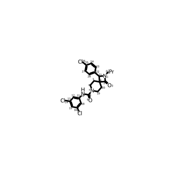 CC(C)N1C(=O)C2(CCN(C(=O)Nc3cc(Cl)cc(Cl)c3)CC2)C1c1ccc(Cl)cc1